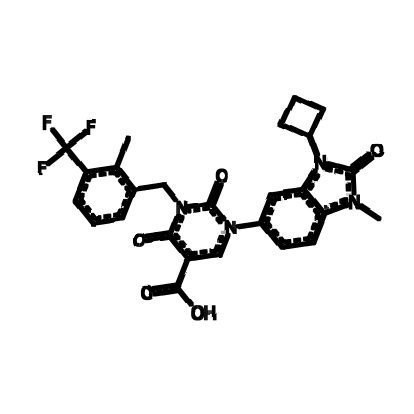 Cc1c(Cn2c(=O)c(C(=O)O)cn(-c3ccc4c(c3)n(C3CCC3)c(=O)n4C)c2=O)cccc1C(F)(F)F